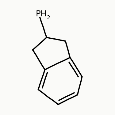 PC1Cc2ccccc2C1